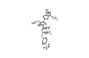 Cc1n[nH]c2ccc(-c3sc(NC[C@@H](N)Cc4ccc(C(F)(F)F)cc4)nc3CO)cc12